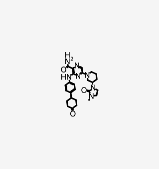 CN1CCN([C@@H]2CCCN(c3cnc(C(N)=O)c(Nc4ccc(C5CCC(=O)CC5)cc4)n3)C2)C1=O